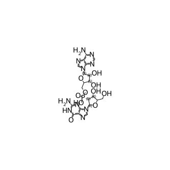 Nc1nc2c(ncn2[C@@H]2OC(CO)[C@@H](O)[C@H]2P(=O)(O)OCC2O[C@@H](n3cnc4c(N)ncnc43)[C@H](O)[C@@H]2O)c(=O)[nH]1